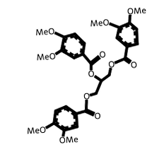 COc1ccc(C(=O)OCC(COC(=O)c2ccc(OC)c(OC)c2)OC(=O)c2ccc(OC)c(OC)c2)cc1OC